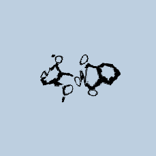 COc1ccnc(OC)c1CON1C(=O)c2ccccc2C1=O